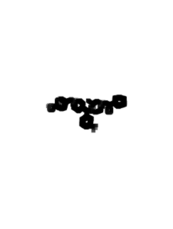 COc1ccc(CN2CCC(C(c3cccc(F)c3)N3CCN(CC(=O)c4ccccc4)C[C@@H]3C)CC2)cc1